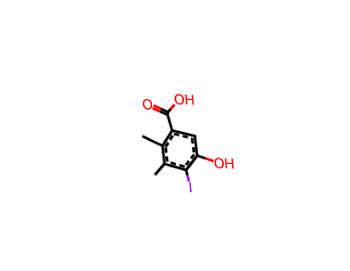 Cc1c(C(=O)O)cc(O)c(I)c1C